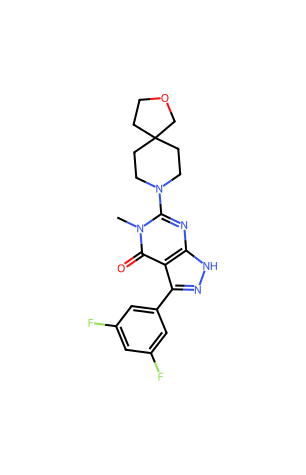 Cn1c(N2CCC3(CCOC3)CC2)nc2[nH]nc(-c3cc(F)cc(F)c3)c2c1=O